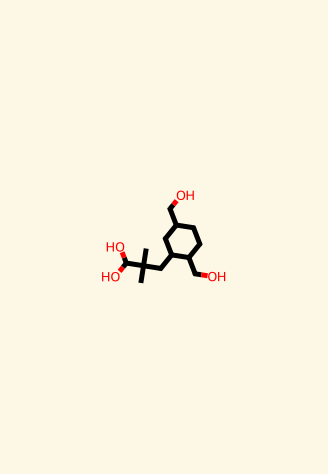 CC(C)(CC1CC(CO)CCC1CO)C(O)O